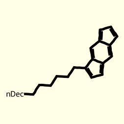 CCCCCCCCCCCCCCCCC1=CC=c2cc3c(cc21)=CC=C3